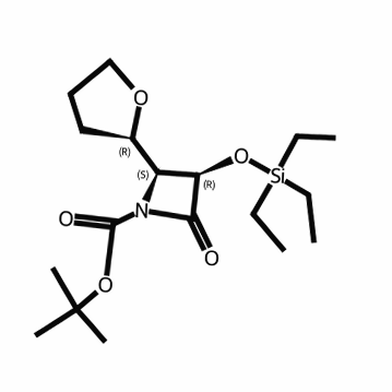 CC[Si](CC)(CC)O[C@H]1C(=O)N(C(=O)OC(C)(C)C)[C@H]1[C@H]1CCCO1